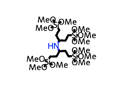 CO[Si](CCC(CC[Si](OC)(OC)OC)NC(CC[Si](OC)(OC)OC)CC[Si](OC)(OC)OC)(OC)OC